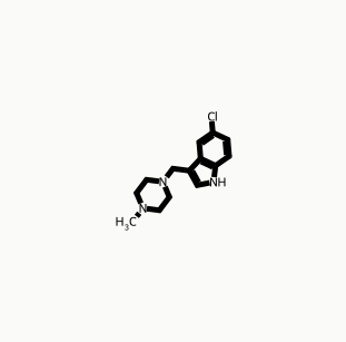 CN1CCN(Cc2c[nH]c3ccc(Cl)cc23)CC1